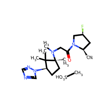 CN(CC(=O)N1C[C@@H](F)C[C@H]1C#N)[C@@]1(C)CC[C@@H](n2cncn2)C1(C)C.CS(=O)(=O)O